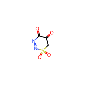 O=C1CS(=O)(=O)N=NC1=O